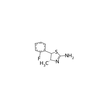 C[C@H]1N=C(N)SC1c1ccccc1F